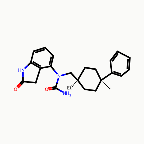 CC[C@]1(CN(C(N)=O)c2cccc3c2CC(=O)N3)CC[C@@](C)(c2ccccc2)CC1